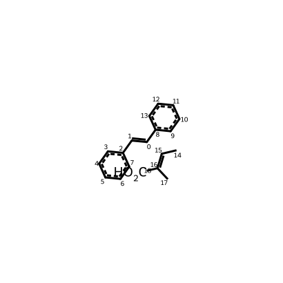 C(=Cc1ccccc1)c1ccccc1.CC=C(C)C(=O)O